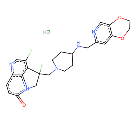 Cl.O=c1ccc2ncc(F)c3c2n1CC3(F)CN1CCC(NCc2cc3c(cn2)OCCO3)CC1